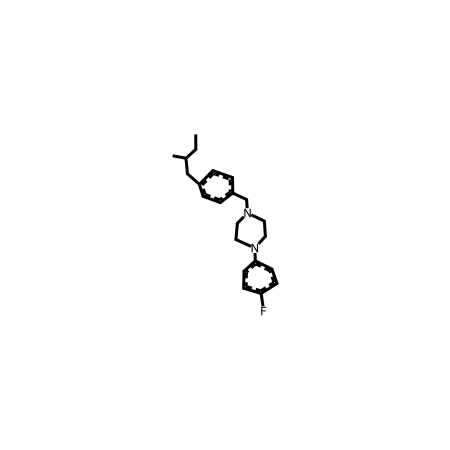 CCC(C)Cc1ccc(CN2CCN(c3ccc(F)cc3)CC2)cc1